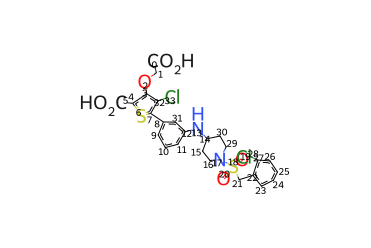 O=C(O)COc1c(C(=O)O)sc(-c2cccc(NC3CCN(S(=O)(=O)Cc4ccccc4Cl)CC3)c2)c1Cl